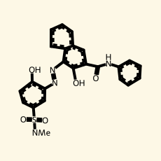 CNS(=O)(=O)c1ccc(O)c(N=Nc2c(O)c(C(=O)Nc3ccccc3)cc3ccccc23)c1